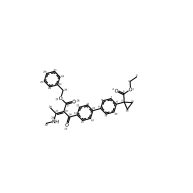 CCOC(=O)C1(c2ccc(-c3ccc(C(=O)C(C(=O)OCc4ccccc4)=C(C)NC)cc3)cc2)CC1